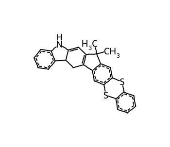 CC1(C)C2=C(CC3C(=C2)Nc2ccccc23)c2cc3c(cc21)Sc1ccccc1S3